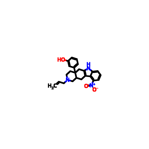 C=CCN1CCC2(c3cccc(O)c3)Cc3[nH]c4cccc([N+](=O)[O-])c4c3CC2C1